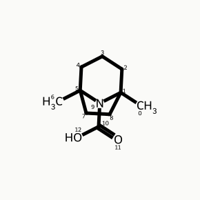 CC12CCCC(C)(CC1)N2C(=O)O